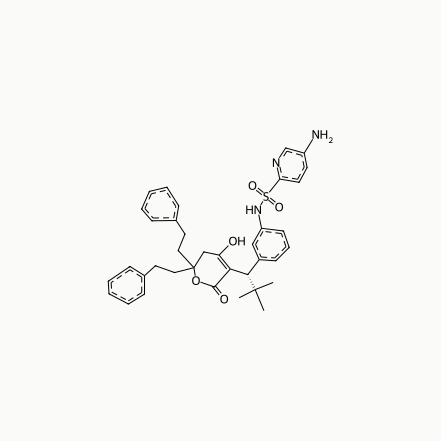 CC(C)(C)[C@H](C1=C(O)CC(CCc2ccccc2)(CCc2ccccc2)OC1=O)c1cccc(NS(=O)(=O)c2ccc(N)cn2)c1